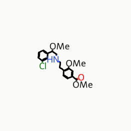 COC(=O)c1ccc(CCNCC(OC)c2cccc(Cl)c2)c(OC)c1